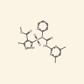 COC(=O)c1c(C)n[nH]c1S(=O)(=O)N(C(=O)Nc1nc(C)cc(C)n1)c1ccccn1